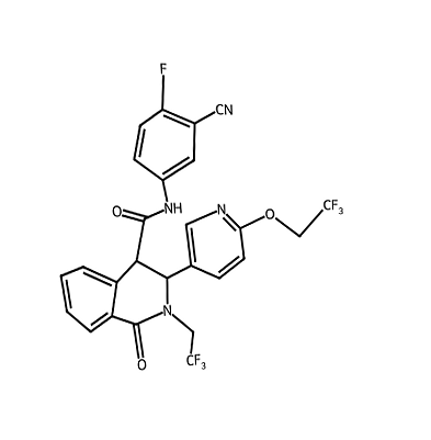 N#Cc1cc(NC(=O)C2c3ccccc3C(=O)N(CC(F)(F)F)C2c2ccc(OCC(F)(F)F)nc2)ccc1F